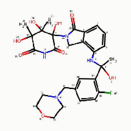 BC(O)(Nc1cccc2c1CN(C1(O)C(=O)NC(=O)C(B)(O)C1(B)O)C2=O)c1cc(CN2CCOCC2)ccc1F